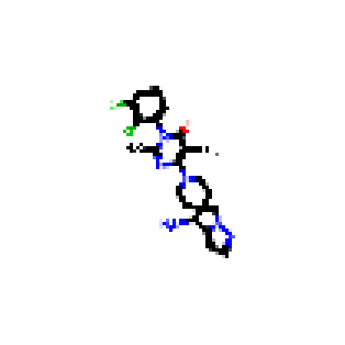 Cc1c(N2CCC3(CC2)Cn2nccc2C3N)nc(C)n(-c2cccc(Cl)c2Cl)c1=O